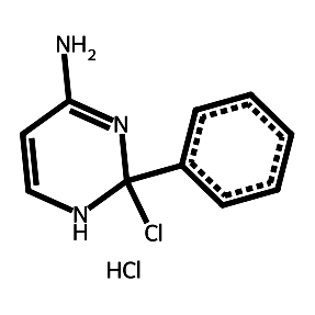 Cl.NC1=NC(Cl)(c2ccccc2)NC=C1